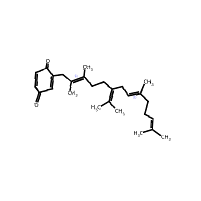 CC(C)=CCC/C(C)=C/CC(CC/C(C)=C(\C)CC1=CC(=O)C=CC1=O)=C(C)C